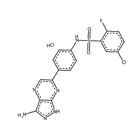 Cl.Nc1n[nH]c2nc(-c3ccc(NS(=O)(=O)c4cc(Cl)ccc4F)cc3)cnc12